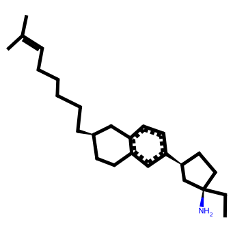 CC[C@@]1(N)CC[C@H](c2ccc3c(c2)CC[C@@H](CCCCCC=C(C)C)C3)C1